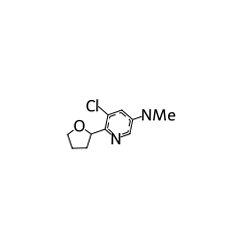 CNc1cnc(C2CCCO2)c(Cl)c1